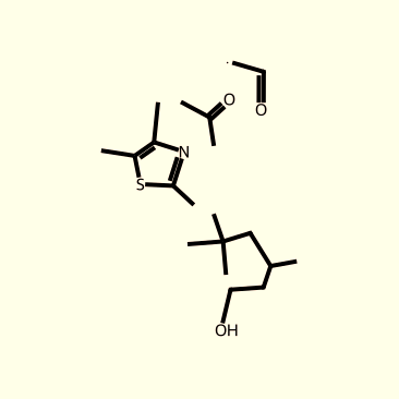 CC(C)=O.CC(CCO)CC(C)(C)C.Cc1nc(C)c(C)s1.[CH2]C=O